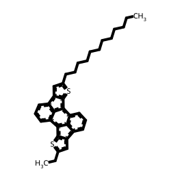 CCCCCCCCCCCCc1cc2c3cccc4c3c(c3cccc5c6cc(CC)sc6c4c53)c2s1